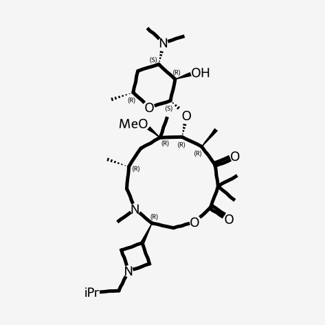 CO[C@]1(C)C[C@@H](C)CN(C)[C@H](C2CN(CC(C)C)C2)COC(=O)C(C)(C)C(=O)[C@H](C)[C@H]1O[C@@H]1O[C@H](C)C[C@H](N(C)C)[C@H]1O